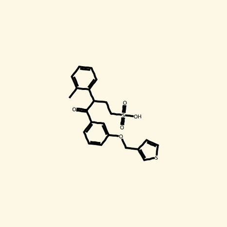 Cc1ccccc1C(CCS(=O)(=O)O)C(=O)c1cccc(OCc2ccsc2)c1